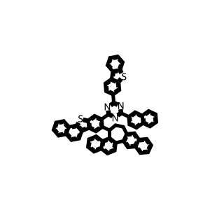 c1ccc2cc(-c3nc(-c4ccc5c(c4)sc4ccccc45)nc(-c4cc5sc6c7ccccc7ccc6c5cc4C4CCc5cc6ccccc6cc5-c5ccc6ccccc6c54)n3)ccc2c1